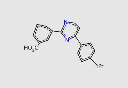 CC(C)c1ccc(-c2ccnc(-c3cccc(C(=O)O)c3)n2)cc1